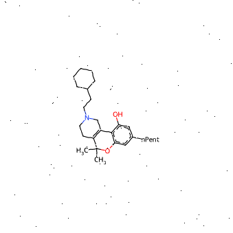 CCCCCc1cc(O)c2c(c1)OC(C)(C)C1=C2CN(CCC2CCCCC2)CC1